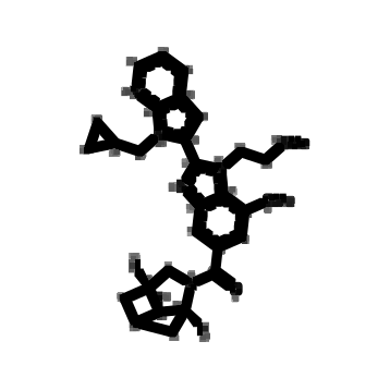 COc1cc(C(=O)N2C[C@H]3CC4C[C@@H]2[C@H]43)cc2nc(-c3cc4cccnc4n3CC3CC3)n(CCSC)c12